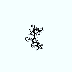 C=P(C)(C)CCC1OC(n2cnc3c(=O)[nH]c(C)nc32)[C@H](Cl)[C@@H]1O